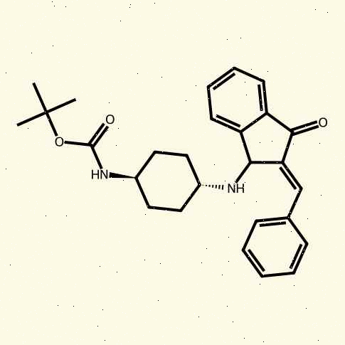 CC(C)(C)OC(=O)N[C@H]1CC[C@H](NC2/C(=C\c3ccccc3)C(=O)c3ccccc32)CC1